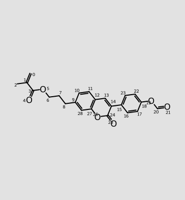 C=C(C)C(=O)OCCCc1ccc2cc(-c3ccc(OC=O)cc3)c(=O)oc2c1